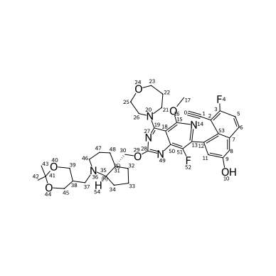 C#Cc1c(F)ccc2cc(O)cc(-c3nc(OC)c4c(N5CCCOCC5)nc(OC[C@]56CCC[C@H]5N(CC5COC(C)(C)OC5)CCC6)nc4c3F)c12